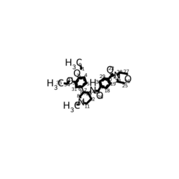 CCOc1ccc([C@@H]2CN(C)CC[C@@H]2NC(=O)c2ccc(C(=O)N3CCOCC3)cc2)cc1OCC